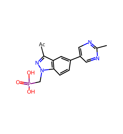 CC(=O)c1nn(CP(=O)(O)O)c2ccc(-c3cnc(C)nc3)cc12